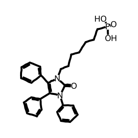 O=c1n(CCCCCCCP(=O)(O)O)c(-c2ccccc2)c(-c2ccccc2)n1-c1ccccc1